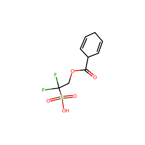 O=C(OCC(F)(F)S(=O)(=O)O)C1C=CCC=C1